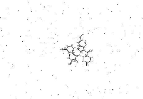 COc1ccc2c(C(=O)N3CCNCC3)c(Cc3cccc(F)c3C)n(-c3ccc(F)cc3)c2c1